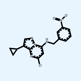 O=[N+]([O-])c1cccc(CNc2cc(Cl)nc3c(C4CC4)cnn23)c1